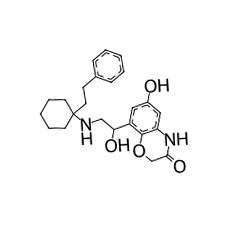 O=C1COc2c(cc(O)cc2C(O)CNC2(CCc3ccccc3)CCCCC2)N1